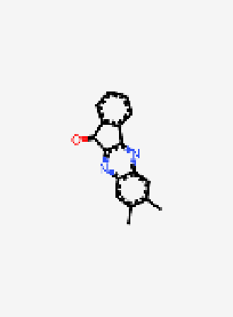 Cc1cc2nc3c(nc2cc1C)-c1ccccc1C3=O